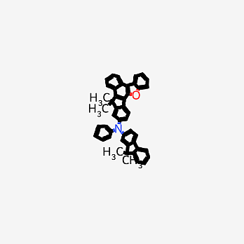 CC1(C)c2ccccc2-c2ccc(N(c3ccccc3)c3ccc4c(c3)C(C)(C)c3c-4c4oc5ccccc5c4c4ccccc34)cc21